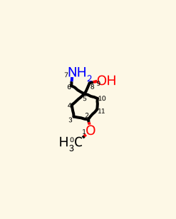 COC1CCC(CN)(CO)CC1